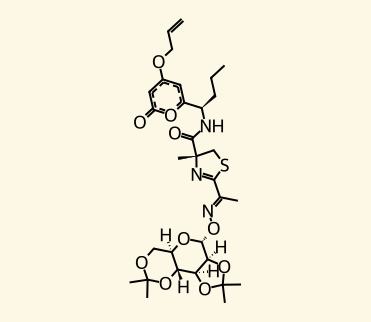 C=CCOc1cc([C@@H](CCC)NC(=O)[C@]2(C)CSC(/C(C)=N/O[C@H]3O[C@@H]4COC(C)(C)O[C@H]4[C@@H]4OC(C)(C)O[C@H]34)=N2)oc(=O)c1